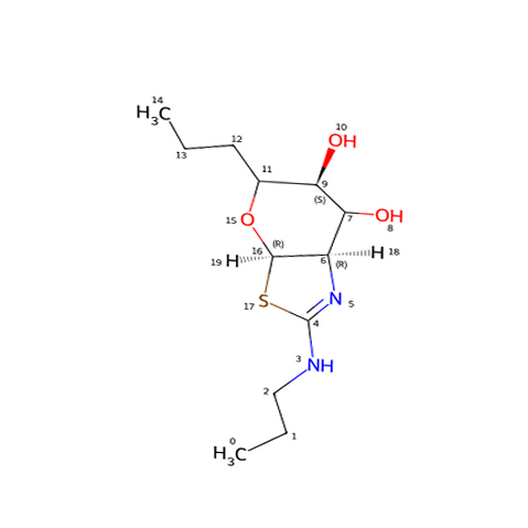 CCCNC1=N[C@@H]2C(O)[C@H](O)C(CCC)O[C@@H]2S1